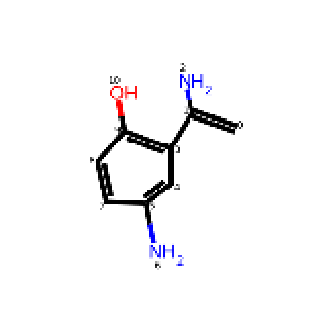 C=C(N)c1cc(N)ccc1O